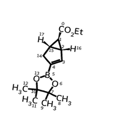 CCOC(=O)[C@H]1[C@@H]2C=C(B3OC(C)(C)C(C)(C)O3)C[C@@H]21